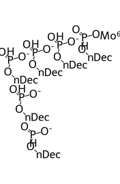 CCCCCCCCCCO[PH](=O)[O-].CCCCCCCCCCO[PH](=O)[O-].CCCCCCCCCCO[PH](=O)[O-].CCCCCCCCCCO[PH](=O)[O-].CCCCCCCCCCO[PH](=O)[O-].CCCCCCCCCCO[PH](=O)[O-].[Mo+6]